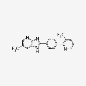 FC(F)(F)c1cnc2nc(-c3ccc(-c4ncccc4C(F)(F)F)cc3)[nH]c2c1